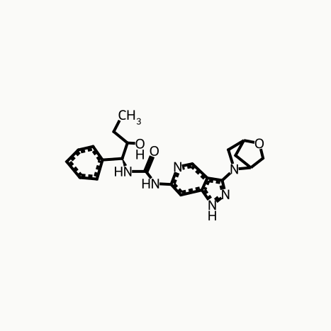 CCC(O)[C@@H](NC(=O)Nc1cc2[nH]nc(N3CC4CC3CO4)c2cn1)c1ccccc1